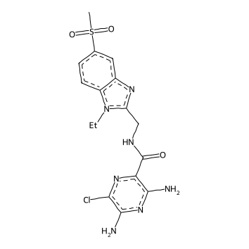 CCn1c(CNC(=O)c2nc(Cl)c(N)nc2N)nc2cc(S(C)(=O)=O)ccc21